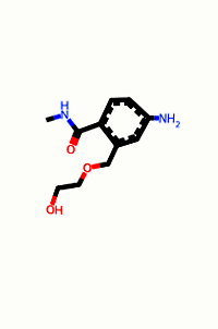 CNC(=O)c1ccc(N)cc1COCCO